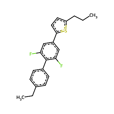 CCCc1ccc(-c2cc(F)c(-c3ccc(CC)cc3)c(F)c2)s1